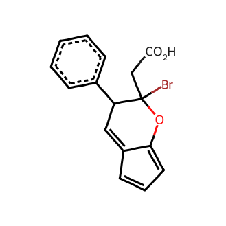 O=C(O)CC1(Br)OC2=CC=CC2=CC1c1ccccc1